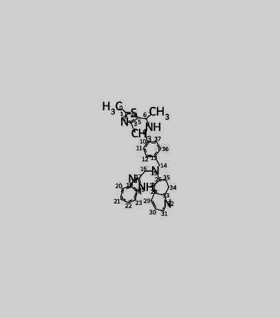 Cc1nc(C)c(C(C)NCc2ccc(CN(Cc3nc4ccccc4[nH]3)C3C=C4C=CC=NC4CC3)cc2)s1